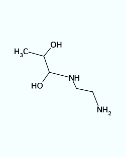 CC(O)C(O)NCCN